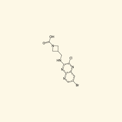 O=C(O)N1CC(CNc2nc3ncc(Br)cc3nc2Cl)C1